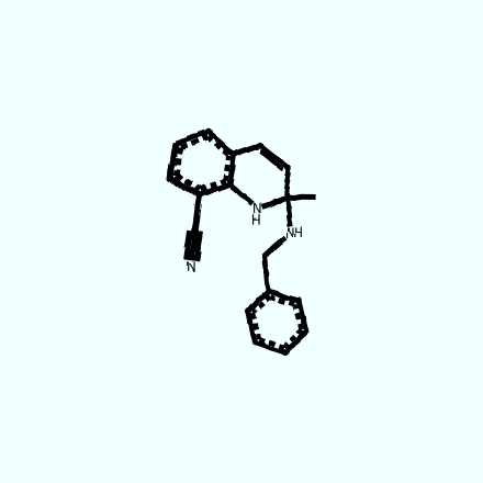 CC1(NCc2ccccc2)C=Cc2cccc(C#N)c2N1